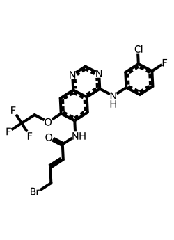 O=C(/C=C/CBr)Nc1cc2c(Nc3ccc(F)c(Cl)c3)ncnc2cc1OCC(F)(F)F